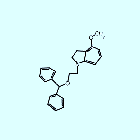 COc1cccc2c1CCN2CCOC(c1ccccc1)c1ccccc1